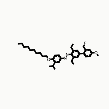 CCCCCCCCCCOc1ccc(/N=N/c2c(CC)cc(-c3ccc(OC)cc3CF)cc2CC)cc1C(C)C